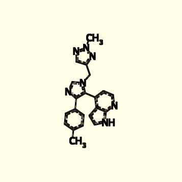 Cc1ccc(-c2ncn(Cc3cnn(C)n3)c2-c2ccnc3[nH]ccc23)cc1